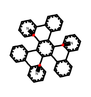 N#Cc1c(-c2ccccc2-c2ccccc2)c(C#N)c(-c2ccccc2-c2ccccc2)c(C#N)c1-c1ccccc1-c1ccccc1